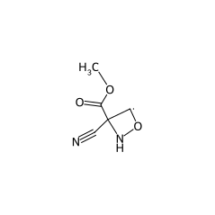 COC(=O)C1(C#N)[CH]ON1